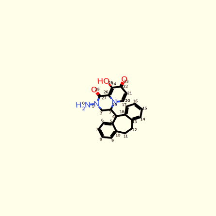 NN1CC(C2c3ccccc3CCc3ccccc32)n2ccc(=O)c(O)c2C1=O